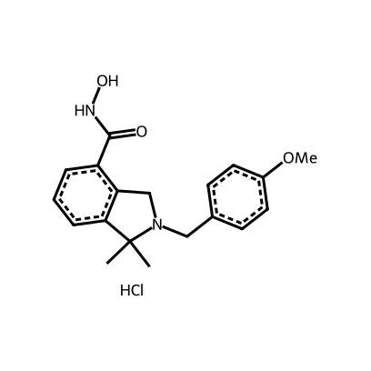 COc1ccc(CN2Cc3c(C(=O)NO)cccc3C2(C)C)cc1.Cl